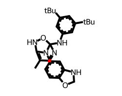 CC1=C2NOC(Nc3cc(C(C)(C)C)cc(C(C)(C)C)c3)(N=C1)N2c1ccc2c(c1)NCO2